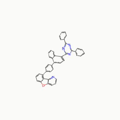 c1ccc(-c2nc(-c3ccccc3)nc(-c3ccc(-c4ccc(-c5cccc6oc7cccnc7c56)cc4)c4ccccc34)n2)cc1